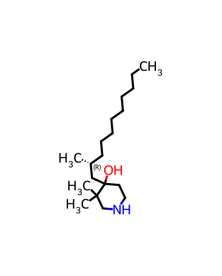 CCCCCCCCC[C@@H](C)CC1(O)CCNCC1(C)C